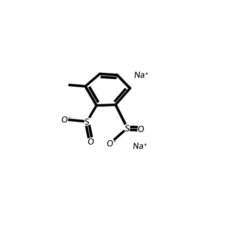 Cc1cccc(S(=O)[O-])c1S(=O)[O-].[Na+].[Na+]